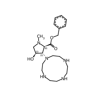 CN1C[C@H](O)[C@@H](N2CCNCCNCCNCC2)[C@@H]1C(=O)OCc1ccccc1